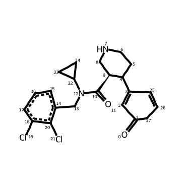 O=C1C=C(C2CCNC[C@@H]2C(=O)N(Cc2cccc(Cl)c2Cl)C2CC2)C=CC1